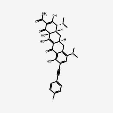 CN(C)c1cc(C#Cc2ccc(F)cc2)c(O)c2c1C[C@@H]1C[C@H]3[C@@H](N(C)C)C(O)=C(C(N)=O)C(=O)[C@@]3(O)C(O)=C1C2=O